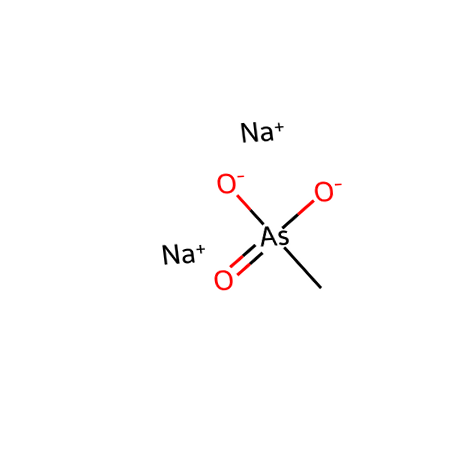 C[As](=O)([O-])[O-].[Na+].[Na+]